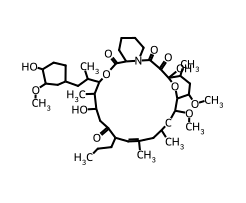 CCCC1C=C(C)CC(C)CC(OC)C2OC(O)(C(=O)C(=O)N3CCCCC3C(=O)OC(C(C)CC3CCC(O)C(OC)C3)C(C)C(O)CC1=O)C(C)CC2OC